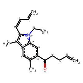 C=C/C=C\c1c(C)c2cc(C)c(C(=O)CCC=C)cc2n1CC